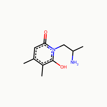 Cc1cc(=O)n(CC(C)N)c(O)c1C